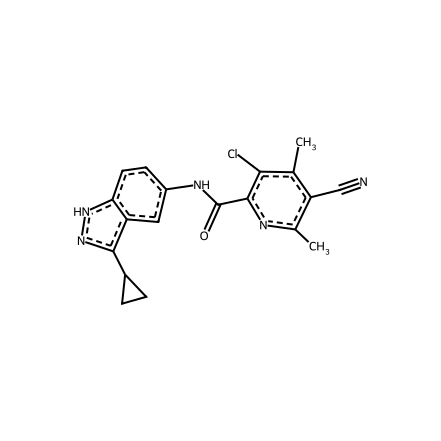 Cc1nc(C(=O)Nc2ccc3[nH]nc(C4CC4)c3c2)c(Cl)c(C)c1C#N